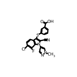 Cn1cc(-n2c(C#N)c(Sc3cccc(C(=O)O)c3)c3ccc(Cl)c(F)c32)cn1